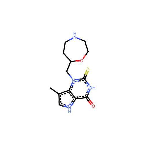 Cc1c[nH]c2c(=O)[nH]c(=S)n(CC3CCNCCO3)c12